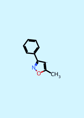 Cc1[c]c(-c2ccccc2)no1